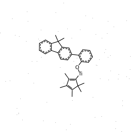 CC1=C(C)C(C)(C)[C]([Ti][O]c2ccccc2-c2ccc3c(c2)C(C)(C)c2ccccc2-3)=C1C